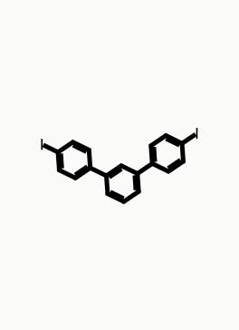 Ic1ccc(-c2cccc(-c3ccc(I)cc3)c2)cc1